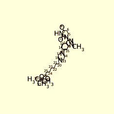 Cn1nc(N2CCC(=O)NC2=O)c2ccc(N3CCN(CCCCCCC(=O)OC(C)(C)C)CC3)cc21